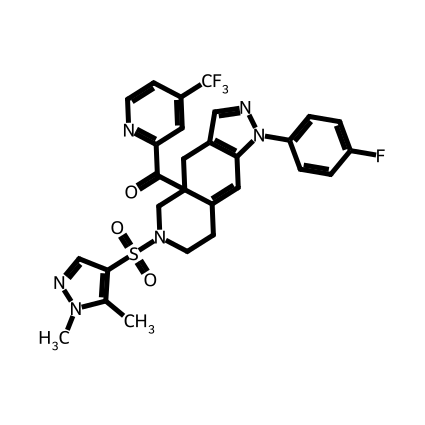 Cc1c(S(=O)(=O)N2CCC3=Cc4c(cnn4-c4ccc(F)cc4)CC3(C(=O)c3cc(C(F)(F)F)ccn3)C2)cnn1C